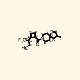 CC1COC2(CCN(C(=O)C3CCC3C(CO)C(F)(F)F)CC2)C1